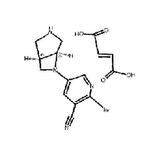 N#Cc1cc(N2C[C@H]3CNC[C@H]32)cnc1Br.O=C(O)C=CC(=O)O